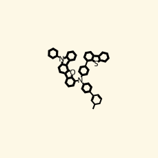 CC1C=C(c2ccc(N(c3ccc(-c4cccc5c4sc4ccccc45)cc3)c3cccc4c3oc3c4ccc4c3c3ccccc3n4-c3ccccc3)cc2)C=CC1